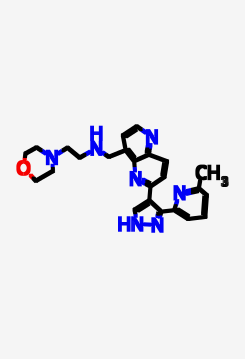 Cc1cccc(-c2n[nH]cc2-c2ccc3nccc(CNCCN4CCOCC4)c3n2)n1